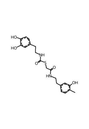 Cc1ccc(CCNC(=O)CSC(=O)NCCc2ccc(O)c(O)c2)cc1O